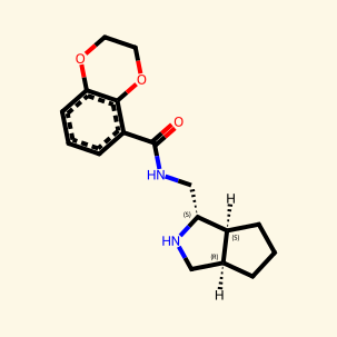 O=C(NC[C@H]1NC[C@@H]2CCC[C@@H]21)c1cccc2c1OCCO2